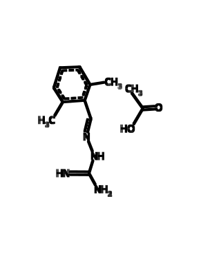 CC(=O)O.Cc1cccc(C)c1/C=N/NC(=N)N